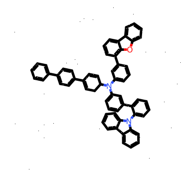 C1=CC(N(c2cccc(-c3ccccc3-n3c4ccccc4c4ccccc43)c2)c2cccc(-c3cccc4c3oc3ccccc34)c2)CC=C1c1ccc(-c2ccccc2)cc1